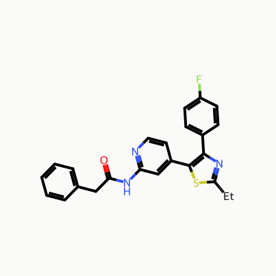 CCc1nc(-c2ccc(F)cc2)c(-c2ccnc(NC(=O)Cc3ccccc3)c2)s1